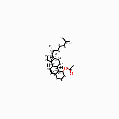 CC(=O)O[C@H]1CCCC2=C=C[C@H]3[C@@H]4CC[C@H]([C@H](C)CCCC(C)C)[C@@]4(C)CC[C@@H]3[C@]21C